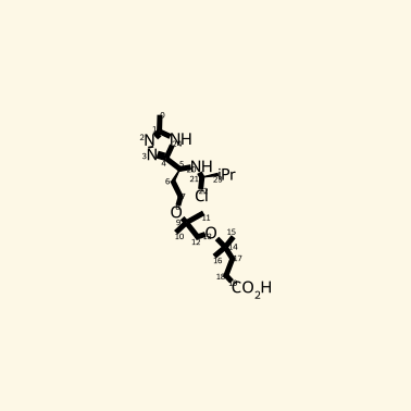 Cc1nnc([C@H](CCOC(C)(C)COC(C)(C)CCC(=O)O)N[C@H](Cl)C(C)C)[nH]1